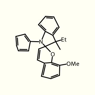 CCC1(C)c2ccccc2N(c2ccccc2)C12C=Cc1cccc(OC)c1O2